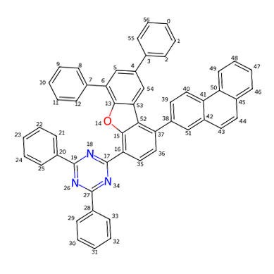 c1ccc(-c2cc(-c3ccccc3)c3oc4c(-c5nc(-c6ccccc6)nc(-c6ccccc6)n5)ccc(-c5ccc6c(ccc7ccccc76)c5)c4c3c2)cc1